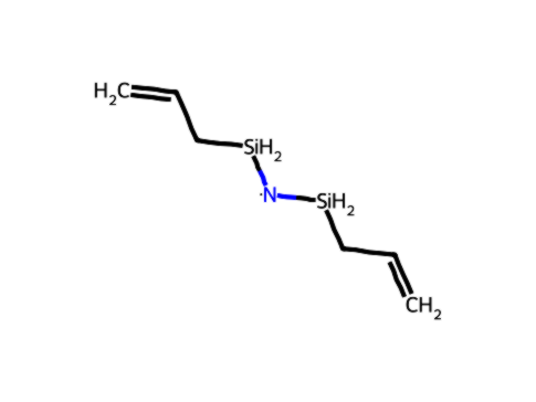 C=CC[SiH2][N][SiH2]CC=C